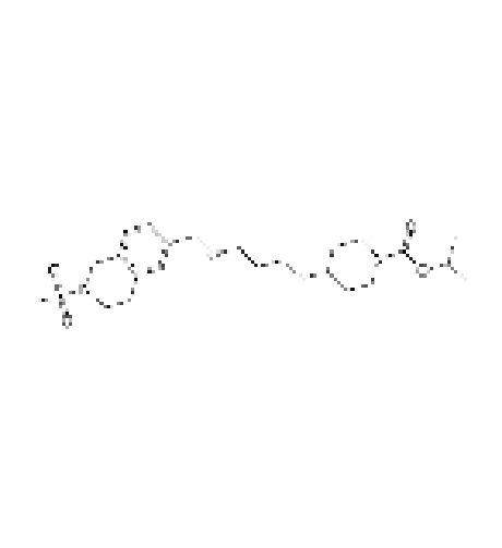 CC(C)OC(=O)N1CCC(CCCCOCc2ccc3c(c2)CCN(S(C)(=O)=O)C3)CC1